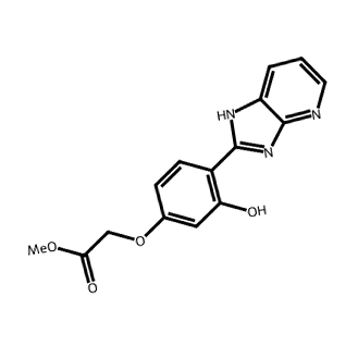 COC(=O)COc1ccc(-c2nc3ncccc3[nH]2)c(O)c1